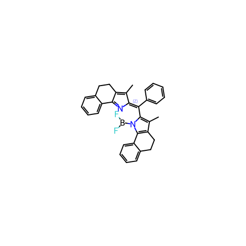 CC1=C2CCc3ccccc3C2=N/C1=C(/c1ccccc1)c1c(C)c2c(n1B(F)F)-c1ccccc1CC2